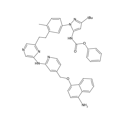 Cc1ccc(-n2nc(C(C)(C)C)cc2NC(=O)Oc2ccccc2)cc1CCc1cncc(Nc2cc(COc3ccc(N)c4ccccc34)ccn2)n1